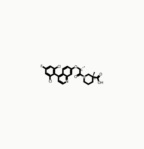 C[C@@H](Oc1ccc2c(-c3c(Cl)cc(F)cc3Cl)ccnc2c1)C(=O)N1CCC[C@@](C)(C(=O)O)C1